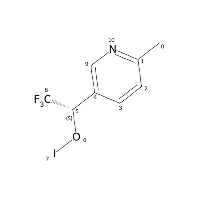 Cc1ccc([C@H](OI)C(F)(F)F)cn1